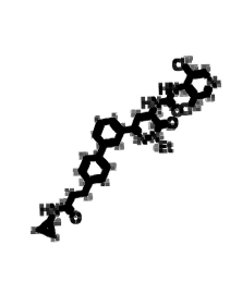 CCn1nc(-c2cccc(-c3ccc(CCC(=O)NC4CC4)cc3)c2)cc(NC(=O)Nc2c(Cl)cncc2Cl)c1=O